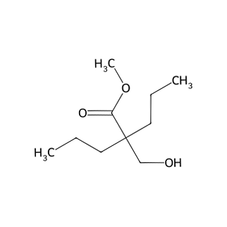 CCCC(CO)(CCC)C(=O)OC